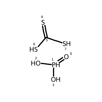 O=[PH](O)O.S=C(S)S